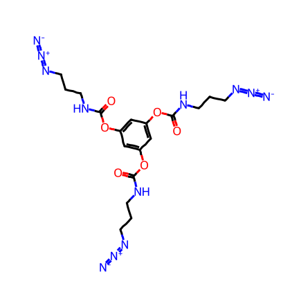 [N-]=[N+]=NCCCNC(=O)Oc1cc(OC(=O)NCCCN=[N+]=[N-])cc(OC(=O)NCCCN=[N+]=[N-])c1